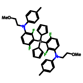 COCCN(c1ccc(C)cc1)c1ccc(F)[c]([Ti]([c]2c(F)ccc(N(CCOC)c3ccc(C)cc3)c2F)([CH]2C=CC=C2)[CH]2C=CC=C2)c1F